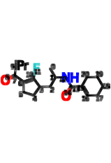 CC(CC1CCC(C(=O)C(C)C)=C1F)NC(=O)C1=CCCCC1